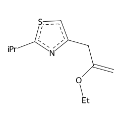 C=C(Cc1csc(C(C)C)n1)OCC